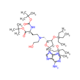 CC[Si](CC)(CC)OC1[C@@H](CN(CCO)CC[C@H](NC(=O)OC(C)(C)C)C(=O)OC(C)(C)C)O[C@@H](n2cnc3c(N)ncnc32)[C@H]1O[Si](CC)(CC)CC